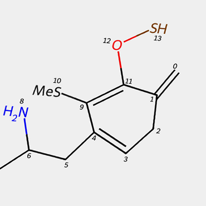 C=C1CC=C(CC(C)N)C(SC)=C1OS